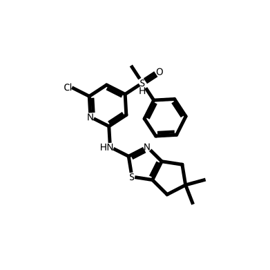 CC1(C)Cc2nc(Nc3cc([SH](C)(=O)c4ccccc4)cc(Cl)n3)sc2C1